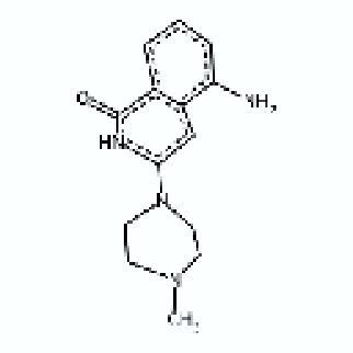 CN1CCN(c2cc3c(N)cccc3c(=O)[nH]2)CC1